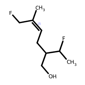 C/C(=C/CC(CO)C(C)F)CF